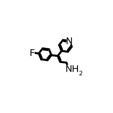 NC/C=C(\c1ccncc1)c1ccc(F)cc1